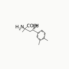 CCC(CC(C)(N)C(=O)O)c1ccc(C)c(C)c1